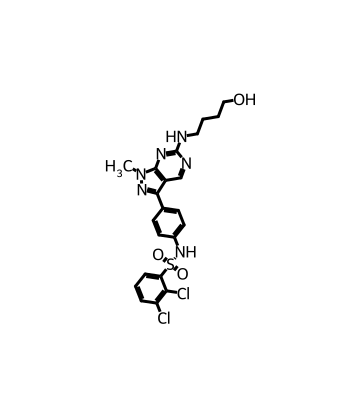 Cn1nc(-c2ccc(NS(=O)(=O)c3cccc(Cl)c3Cl)cc2)c2cnc(NCCCCO)nc21